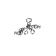 OC=C1N(c2ccccc2)N=C(c2ccccc2)N1c1ccccc1.[O-][Cl+3]([O-])([O-])O